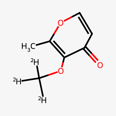 [2H]C([2H])([2H])Oc1c(C)occc1=O